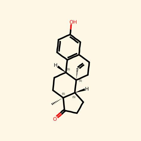 C=C[C@@]12CCc3cc(O)ccc3[C@H]1CC[C@]1(C)C(=O)CC[C@@H]21